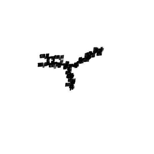 N#C[C@@H]1CC(F)(F)CN1C(=O)CNC(=O)c1ccnc2c(NC(=O)CCC(=O)N[C@@H](CCCCn3cc(CNC(=O)CCC(O)Nc4cccc5c(C(=O)NCC(=O)N6CC(F)(F)C[C@H]6C#N)ccnc45)nn3)C(=O)NCCNC(=O)CCCC(C(=O)O)N3CCN(CC(=O)O)CCN(CC(=O)O)CCN(CC(=O)O)CC3)cccc12